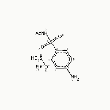 CC(=O)NS(=O)(=O)c1ccc(N)cc1.O=S(=O)([O-])O.[Na+]